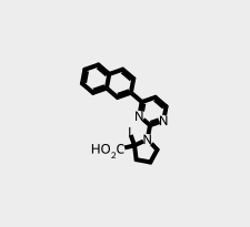 O=C(O)C1(I)CCCN1c1nccc(-c2ccc3ccccc3c2)n1